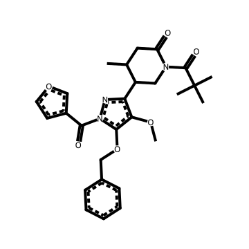 COc1c(C2CN(C(=O)C(C)(C)C)C(=O)CC2C)nn(C(=O)c2ccoc2)c1OCc1ccccc1